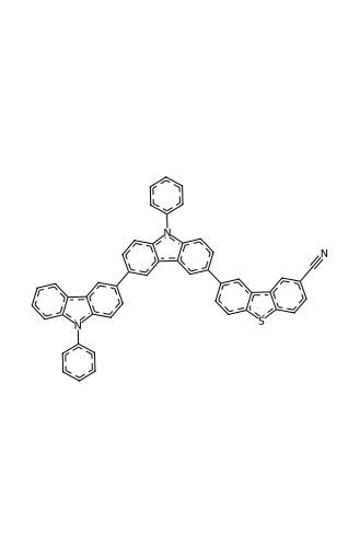 N#Cc1ccc2sc3ccc(-c4ccc5c(c4)c4cc(-c6ccc7c(c6)c6ccccc6n7-c6ccccc6)ccc4n5-c4ccccc4)cc3c2c1